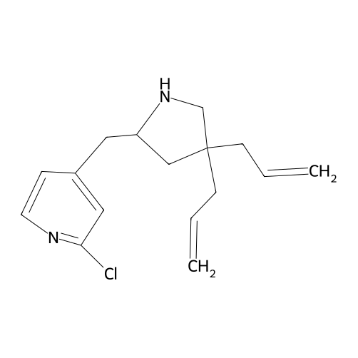 C=CCC1(CC=C)CNC(Cc2ccnc(Cl)c2)C1